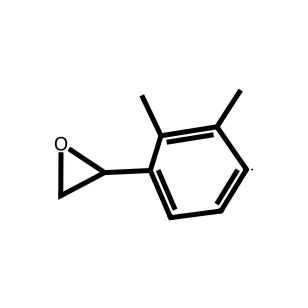 Cc1[c]ccc(C2CO2)c1C